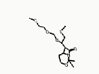 COCCOCOC(CSC)C1C(=O)N2C1CCOC2(C)C